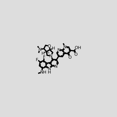 CNc1cc(F)c(F)c2c1[nH]c1ncc(-c3cnc4c(c3)c(=O)c(C(=O)O)cn4C)c(N3C[C@@H]4C(N(C)C)CO[C@@H]4C3)c12